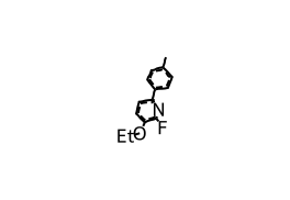 CCOc1ccc(-c2ccc(C)cc2)nc1F